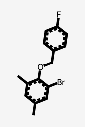 Cc1cc(C)c(OCc2ccc(F)cc2)c(Br)c1